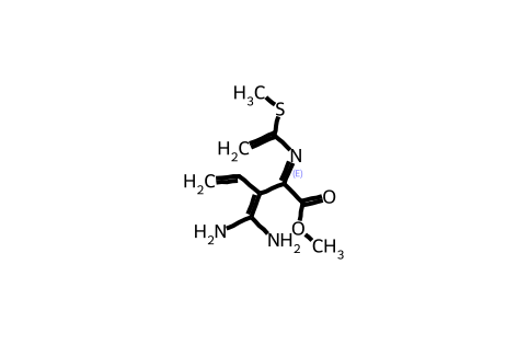 C=CC(=C(N)N)/C(=N\C(=C)SC)C(=O)OC